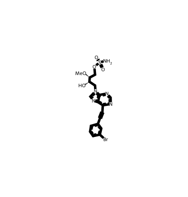 CO[C@H](COS(N)(=O)=O)[C@@H](O)Cn1cnc2c(C#Cc3cccc(Br)c3)ncnc21